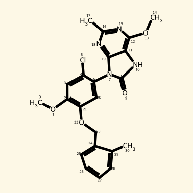 COc1cc(Cl)c(-n2c(=O)[nH]c3c(OC)nc(C)nc32)cc1OCc1ccccc1C